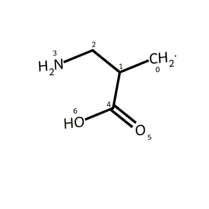 [CH2]C(CN)C(=O)O